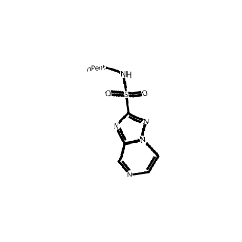 CCCCCNS(=O)(=O)c1nc2cnccn2n1